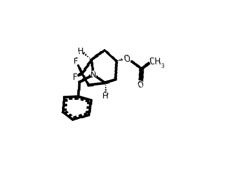 CC(=O)O[C@@H]1C[C@H]2CC(F)(F)[C@@H](C1)N2Cc1ccccc1